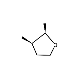 C[C@@H]1CCO[C@@H]1C